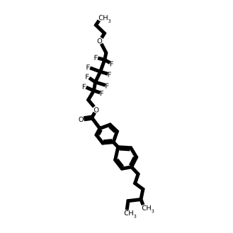 CCCOCC(F)(F)C(F)(F)C(F)(F)C(F)(F)COC(=O)c1ccc(-c2ccc(CCCC(C)CC)cc2)cc1